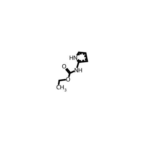 CCOC(=O)Nc1ccc[nH]1